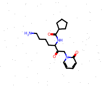 NCCCCC(NC(=O)C1CCCC1)C(=O)Cn1ccccc1=O